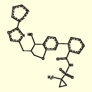 CC1(S(=O)(=O)NC(=O)c2ccccc2-c2ccc3c(c2)OCC(Cc2coc(-c4ccccc4)n2)C3O)CC1